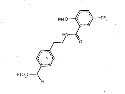 CCOC(=O)C(CC)c1ccc(CCNC(=O)c2cc(C(F)(F)F)ccc2OC)cc1